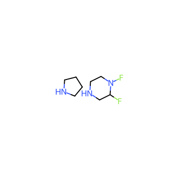 C1CCNC1.FC1CNCCN1F